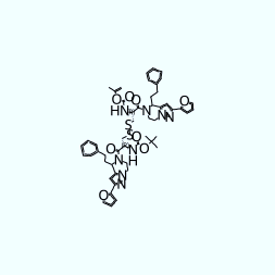 C=C(C)OC(=O)N[C@@H](CSSC[C@H](NC(=O)OC(C)(C)C)C(=O)N1CCn2nc(-c3ccco3)cc2C1CCc1ccccc1)C(=O)N1CCn2nc(-c3ccco3)cc2C1CCc1ccccc1